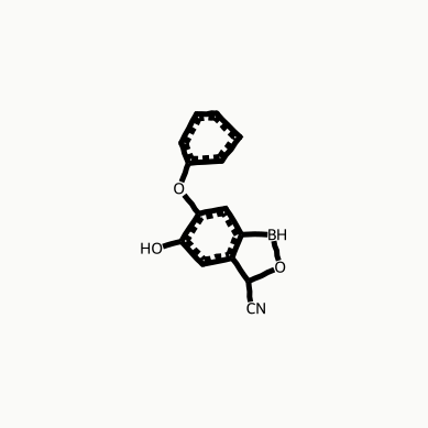 N#CC1OBc2cc(Oc3ccccc3)c(O)cc21